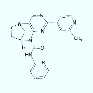 Cc1cc(-c2ncc3c(n2)N(C(=O)Nc2ccccn2)[C@H]2CCN3C2)ccn1